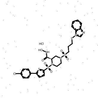 Cl.O=C(NO)[C@H]1CN(S(=O)(=O)CCCSn2cnc3ccccc32)CCN1S(=O)(=O)c1ccc(-c2ccc(Cl)cc2)s1